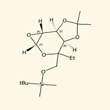 CCC1(CO[Si](C)(C)C(C)(C)C)O[C@@H]2O[C@@H]2[C@H]2OC(C)(C)O[C@H]21